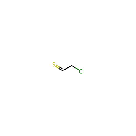 S=CCCl